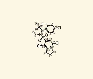 CCN([C@H](c1ccc(Cl)cc1)C(F)(F)F)S(=O)(=O)c1cc(=O)n2c(c1Cl)CCC2